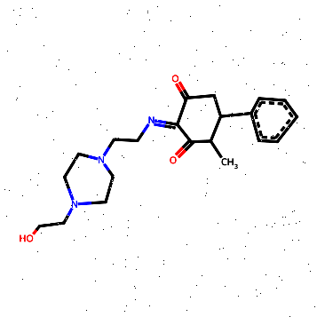 CC1C(=O)/C(=N\CCN2CCN(CCO)CC2)C(=O)CC1c1ccccc1